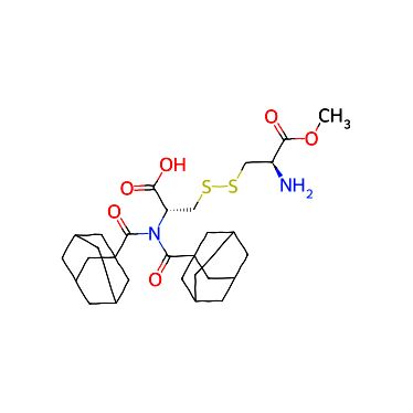 COC(=O)[C@@H](N)CSSC[C@@H](C(=O)O)N(C(=O)C12CC3CC(CC(C3)C1)C2)C(=O)C12CC3CC(CC(C3)C1)C2